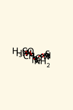 CC1CN(C(=O)c2ccc(-c3cnc(N)c(OCc4ccc(-c5csnn5)cc4)c3)cc2)CC(C)N1